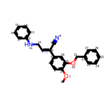 COc1ccc(/C(C#N)=C/CNc2ccccc2)cc1OCc1ccccc1